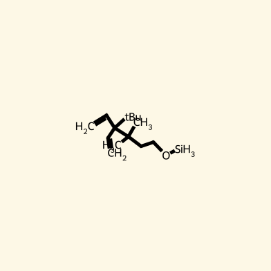 C=CC(C=C)(C(C)(C)C)C(C)(C)CCO[SiH3]